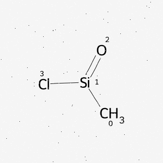 C[Si](=O)Cl